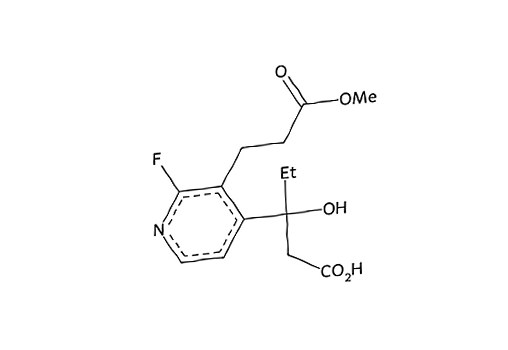 CCC(O)(CC(=O)O)c1ccnc(F)c1CCC(=O)OC